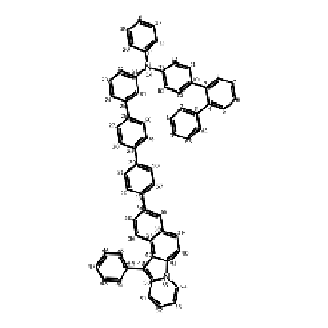 c1ccc(-c2ccccc2-c2ccc(N(c3ccccc3)c3cccc(-c4ccc(-c5ccc(-c6ccc7c(ccc8c7c(-c7ccccc7)c7ccccn78)c6)cc5)cc4)c3)cc2)cc1